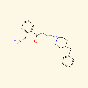 NCc1ccccc1C(=O)CCCN1CCC(Cc2ccccc2)CC1